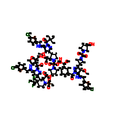 COc1c(C2CCN(S(=O)(=O)N3CCC(OC(=O)C4C(c5cc(NCc6ccc(Cl)s6)n(C(=O)c6ccoc6C)n5)C(C(F)(F)F)CCN4S(C)(=O)=O)C3)C2C(=O)O)nn(C(=O)C(C)(C)C)c1NCc1ccc(Cl)s1.COc1c(C2CN(S(=O)(=O)N3CCC(O)C3)C2)nn(C(=O)c2cccc(C(=O)O)c2)c1NCc1ccc(Cl)s1